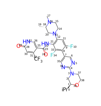 CC(C)[C@H]1CN(c2ncc(-c3c(F)cc(N4CCN(C)[C@@H](C)C4)c(NC(=O)c4c[nH]c(=O)cc4C(F)(F)F)c3F)cn2)CCO1